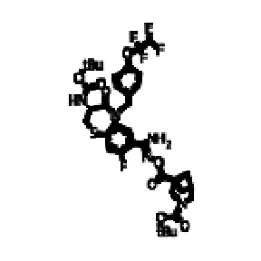 CC(C)(C)OC(=O)N[C@H]1CSc2cc(F)c(/C(N)=N/OC(=O)C34CC(CN(C(=O)OC(C)(C)C)C3)C4)cc2N(Cc2ccc(OC(F)(F)C(F)F)cc2)C1=O